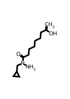 C=C(O)CCCCCCC(=O)N(N)CC1CC1